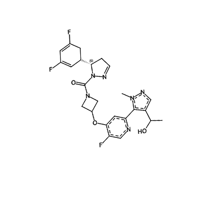 CC(O)c1cnn(C)c1-c1cc(OC2CN(C(=O)N3N=CC[C@H]3C3C=C(F)C=C(F)C3)C2)c(F)cn1